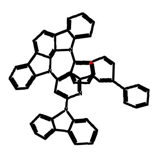 c1ccc(-c2cccc(-c3cc(-n4c5ccccc5c5ccc6c7ccccc7n(-c7ccccc7)c6c54)cc(-n4c5ccccc5c5ccccc54)n3)c2)cc1